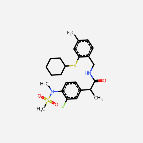 CC(C(=O)NCc1ccc(C(F)(F)F)cc1SC1CCCCC1)c1ccc(N(C)S(C)(=O)=O)c(F)c1